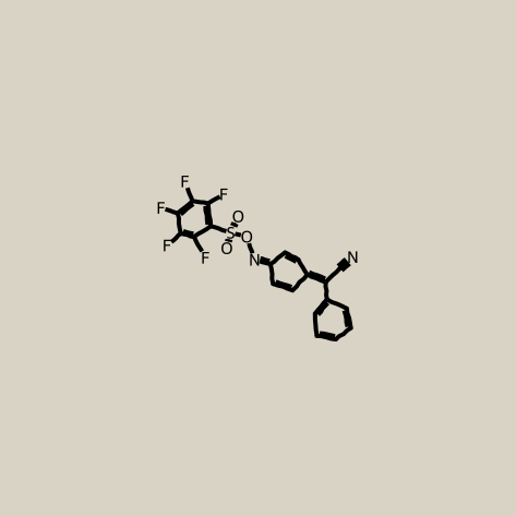 N#CC(=C1C=CC(=NOS(=O)(=O)c2c(F)c(F)c(F)c(F)c2F)C=C1)c1ccccc1